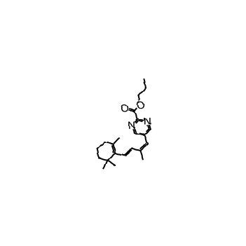 CCCOC(=O)c1ncc(C=C(C)C=CC2=C(C)CCCC2(C)C)cn1